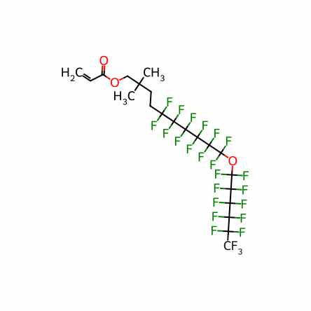 C=CC(=O)OCC(C)(C)CCC(F)(F)C(F)(F)C(F)(F)C(F)(F)C(F)(F)C(F)(F)OC(F)(F)C(F)(F)C(F)(F)C(F)(F)C(F)(F)C(F)(F)F